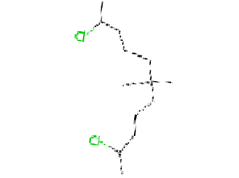 CC(Cl)CCCC(C)(C)CCCC(C)Cl